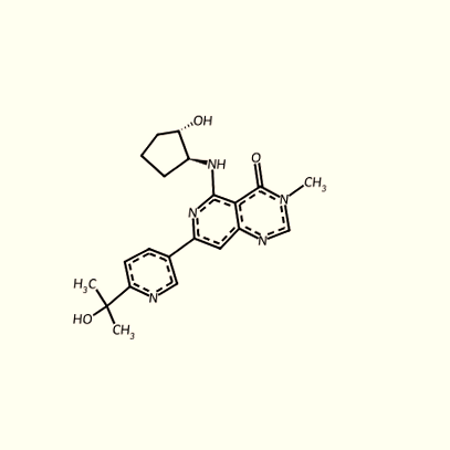 Cn1cnc2cc(-c3ccc(C(C)(C)O)nc3)nc(N[C@H]3CCC[C@@H]3O)c2c1=O